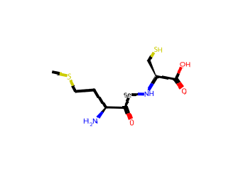 CSCC[C@H](N)C(=O)[Se]N[C@@H](CS)C(=O)O